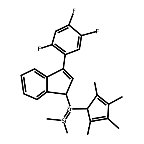 CC1=C(C)[CH]([Zr]([CH]2C=C(c3cc(F)c(F)cc3F)c3ccccc32)=[Si](C)C)C(C)=C1C